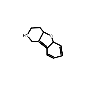 C1=CC2=C3CNCCC3OC2C=C1